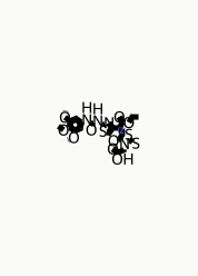 CCOC(=O)/C(=C1\SC(=S)N(CC(=O)O)C1=O)c1csc(NC(=O)Nc2cc(OC)c(OC)c(OC)c2)n1